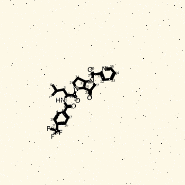 CC(C)CC(NC(=O)c1ccc(C(F)(F)F)cc1)C(=O)N1CCC2C1C(=O)CN2C(=O)c1ccccn1